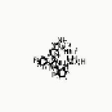 CC(n1c(N)nc2ccc(-c3[nH]c(-c4c(F)cccc4Cl)nc3-c3ccc(F)cc3)nc21)C(C)(C)C.CS(=O)(=O)O